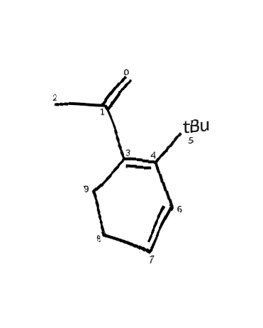 C=C(C)C1=C(C(C)(C)C)C=CCC1